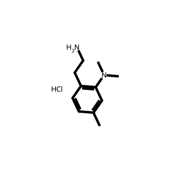 Cc1ccc(CCN)c(N(C)C)c1.Cl